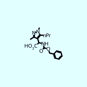 CCCc1c(C(NC(=O)OCc2ccccc2)C(=O)O)c(C)nn1C